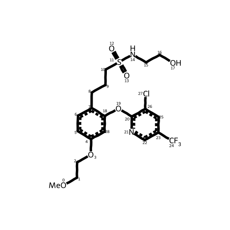 COCCOc1ccc(CCCS(=O)(=O)NCCO)c(Oc2ncc(C(F)(F)F)cc2Cl)c1